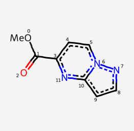 COC(=O)c1ccn2nccc2n1